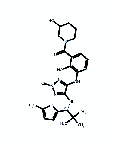 Cc1ccc([C@H](Nc2n[s+]([O-])nc2Nc2cccc(C(=O)N3CCCC(O)C3)c2O)C(C)(C)C)o1